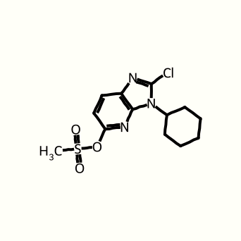 CS(=O)(=O)Oc1ccc2nc(Cl)n(C3CCCCC3)c2n1